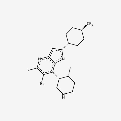 CCc1c(C)nc2cc([C@H]3CC[C@H](C(F)(F)F)CC3)nn2c1[C@H]1CNCC[C@H]1C